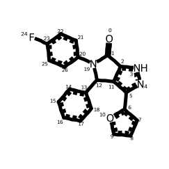 O=C1c2[nH]nc(-c3ccco3)c2C(c2ccccc2)N1c1ccc(F)cc1